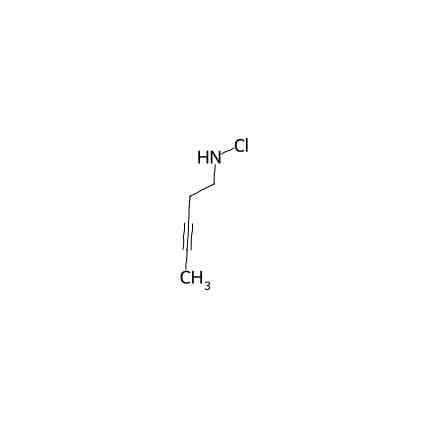 CC#CCCNCl